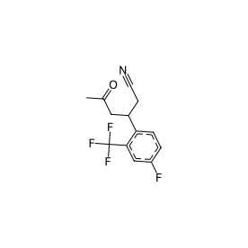 CC(=O)CC(CC#N)c1ccc(F)cc1C(F)(F)F